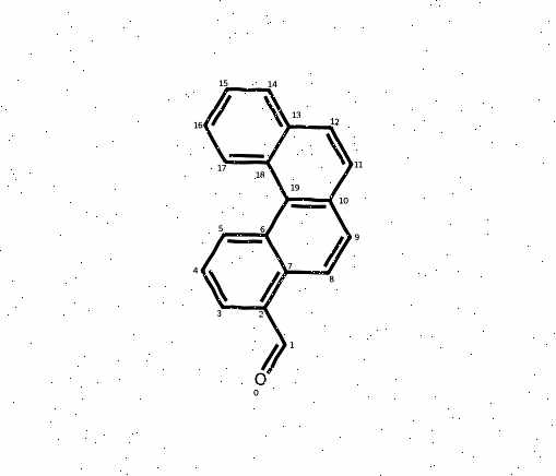 O=Cc1cccc2c1ccc1ccc3ccccc3c12